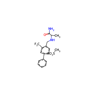 CC(NCc1ccc(-c2ccccc2)cc1C(F)(F)F)C(N)=O.CS(=O)(=O)O